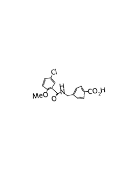 COc1ccc(Cl)cc1C(=O)NCc1ccc(C(=O)O)cc1